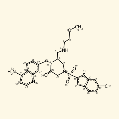 COCCNC[C@H]1CN(S(=O)(=O)c2cc3ccc(Cl)cc3s2)CC(=O)N1Cc1ccc2c(N)ncnc2c1